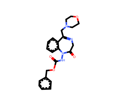 O=C(NN1C(=O)CN=C(CN2CCOCC2)c2ccccc21)OCc1ccccc1